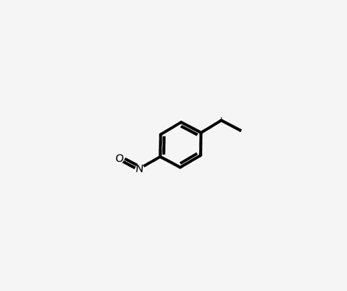 C[CH]c1ccc(N=O)cc1